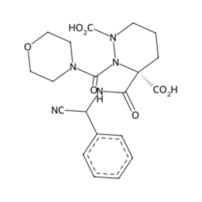 N#CC(NC(=O)[C@]1(C(=O)O)CCCN(C(=O)O)N1C(=O)N1CCOCC1)c1ccccc1